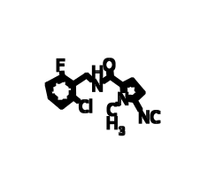 [C-]#[N+]c1ccc(C(=O)NCc2c(F)cccc2Cl)n1C